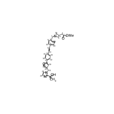 COC(=O)CC1CN(Cc2ccc(C#Cc3ccc(-c4cc(Cn5ccnc5[C@H](C)O)no4)cc3)cn2)C1